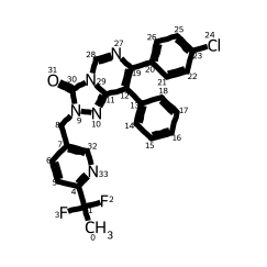 CC(F)(F)c1ccc(Cn2nc3c(-c4ccccc4)c(-c4ccc(Cl)cc4)ncn3c2=O)cn1